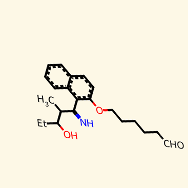 CCC(O)C(C)C(=N)c1c(OCCCCCC=O)ccc2ccccc12